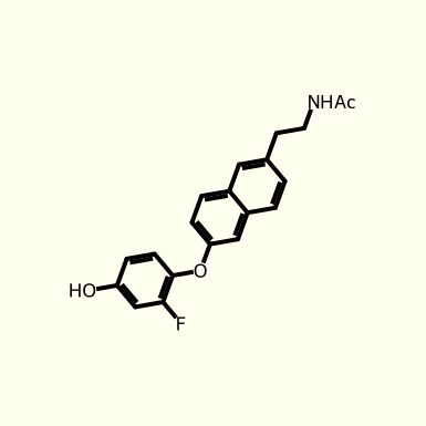 CC(=O)NCCc1ccc2cc(Oc3ccc(O)cc3F)ccc2c1